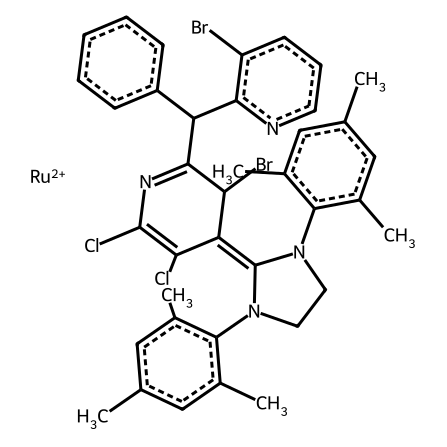 Cc1cc(C)c(N2CCN(c3c(C)cc(C)cc3C)C2=C2C(Cl)=C(Cl)N=C(C(c3ccccc3)c3ncccc3Br)C2Br)c(C)c1.[Ru+2]